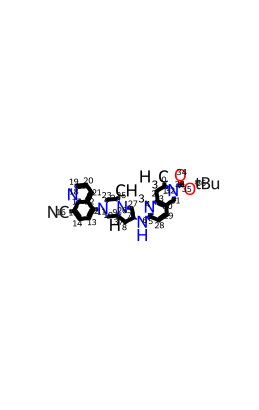 CC1Cc2nc(N[C@@H]3C[C@H]4CN(c5ccc(C#N)c6ncccc56)C[C@@H](C)N4C3)ccc2CN1C(=O)OC(C)(C)C